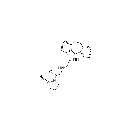 N#C[C@@H]1CCCN1C(=O)CNCCNC1c2ccccc2CCc2cccnc21